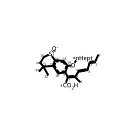 C/C=C/C=C/C(C)=C(/C(=O)O)c1cc2c(cc1OCCCCCCC)[S+]([O-])CCC2(C)C